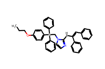 CCCOc1ccc([Si](Cn2ccnc2BC(=Cc2ccccc2)c2ccccc2)(c2ccccc2)c2ccccc2)cc1